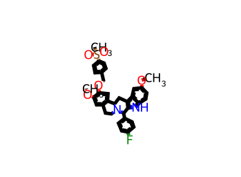 COc1ccc2[nH]c3c(c2c1)CC1c2cc(OCc4ccc(S(C)(=O)=O)cc4)c(OC)cc2CCN1C3c1ccc(F)cc1